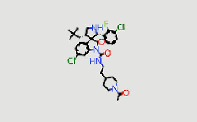 CC(=O)N1CCC(CCNC(=O)N2C(=O)[C@]3(c4ccc(Cl)cc42)[C@H](CC(C)(C)C)CN[C@@H]3c2cccc(Cl)c2F)CC1